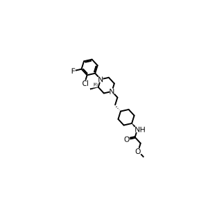 COCC(=O)N[C@H]1CC[C@H](CCN2CCN(c3cccc(F)c3Cl)[C@H](C)C2)CC1